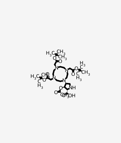 CC(=O)O[C@@H]1[C@@H](C(=O)O)NC[C@H]1N1CCN(CC(=O)OC(C)(C)C)CCN(CC(=O)OC(C)(C)C)CCN(CC(=O)OC(C)(C)C)CC1